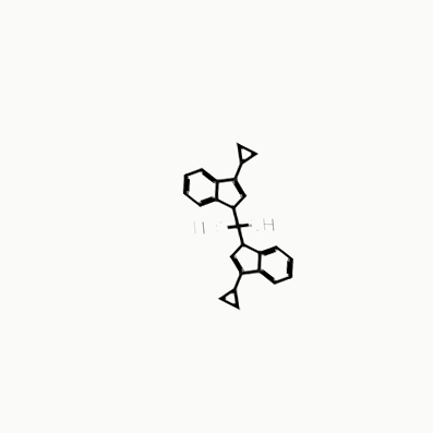 CC(C)(C1C=C(C2CC2)c2ccccc21)C1C=C(C2CC2)c2ccccc21